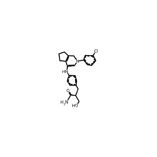 NC(=O)C(CO)Cc1ccc(NC2=CN(c3cccc(Cl)c3)CC3=C2CCC3)cc1